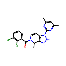 Cc1cc(C)nc(N2NNC3=C2C=CN(C(=O)c2cccc(Cl)c2Cl)C3C)n1